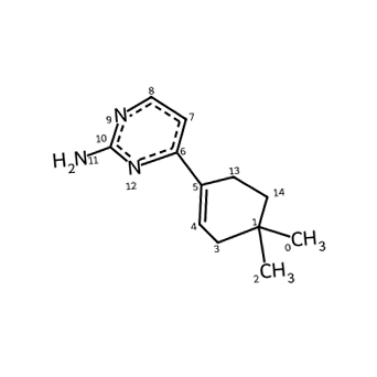 CC1(C)CC=C(c2ccnc(N)n2)CC1